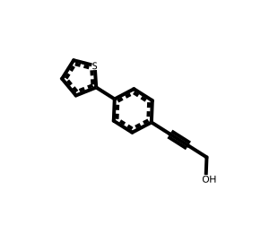 OCC#Cc1ccc(-c2cccs2)cc1